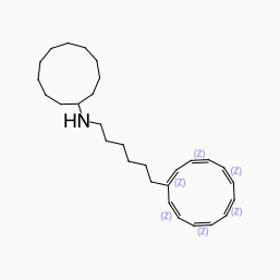 C1=C\C=C/C=C\C(CCCCCCNC2CCCCCCCCCC2)=C/C=C\C=C/1